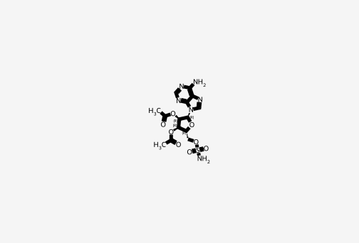 CC(=O)O[C@@H]1[C@H](OC(C)=O)[C@@H](COS(N)(=O)=O)O[C@H]1n1cnc2c(N)ncnc21